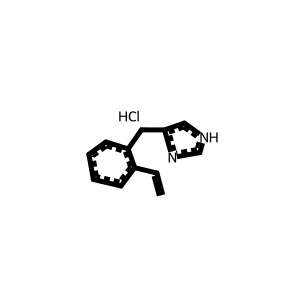 C=Cc1ccccc1Cc1c[nH]cn1.Cl